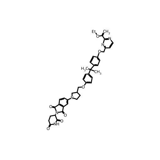 C=C(OCC)c1nccc(COc2ccc(C(C)(C)c3ccc(OCC4CCN(c5ccc6c(c5)C(=O)N(C5CCC(=O)NC5=O)C6=O)C4)cc3)cc2)n1